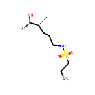 CC(=O)[C@@H](O)[C@H](C)CCCNS(=O)(=O)CCC(F)(F)F